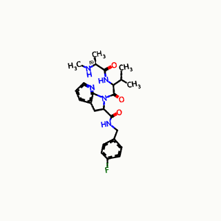 CN[C@@H](C)C(=O)NC(C(=O)N1c2ncccc2CC1C(=O)NCc1ccc(F)cc1)C(C)C